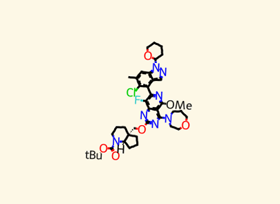 COc1nc(-c2c(Cl)c(C)cc3c2cnn3C2CCCCO2)c(F)c2nc(OC[C@]34CCC[C@H]3N(C(=O)OC(C)(C)C)CCC4)nc(N3CCCOCC3)c12